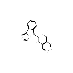 O[C@@H]1c2cnncc2CC[C@H]1[C@H]1c2ccccc2-c2cncn21